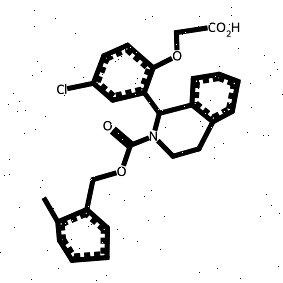 Cc1ccccc1COC(=O)N1CCc2ccccc2C1c1cc(Cl)ccc1OCC(=O)O